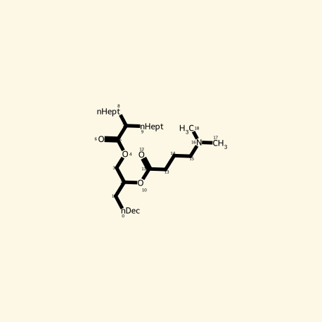 CCCCCCCCCCCC(COC(=O)C(CCCCCCC)CCCCCCC)OC(=O)CCCN(C)C